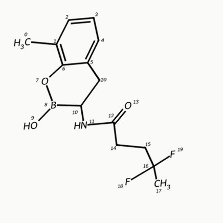 Cc1cccc2c1OB(O)C(NC(=O)CCC(C)(F)F)C2